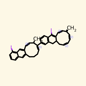 C=C1/C=C\C=C/CC2Cc3cc(/C4=C/CCCc5cc6cccc(I)c6cc5/C=C\C4C)ccc3C(I)=C2/C=C\1